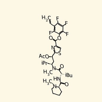 C=Cc1c(F)c(F)c(F)c(OC(=O)c2csc([C@@H](C[C@H](C(C)C)N(C)C(=O)[C@@H](NC(=O)[C@H]3CCCCN3C)[C@@H](C)CC)OC(C)=O)n2)c1F